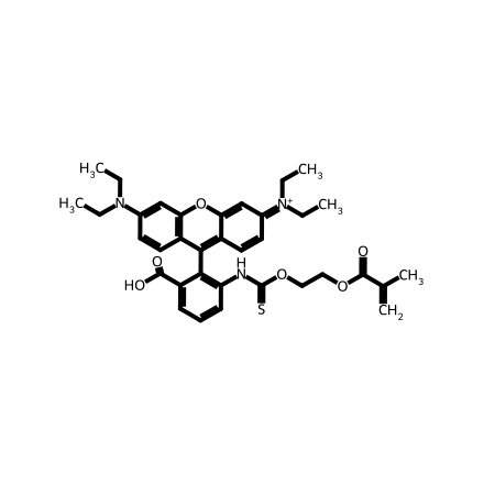 C=C(C)C(=O)OCCOC(=S)Nc1cccc(C(=O)O)c1-c1c2ccc(=[N+](CC)CC)cc-2oc2cc(N(CC)CC)ccc12